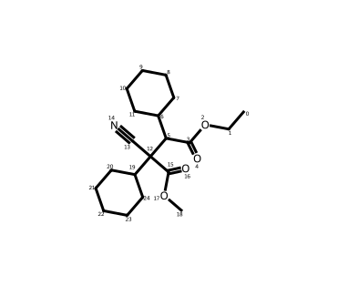 CCOC(=O)C(C1CCCCC1)C(C#N)(C(=O)OC)C1CCCCC1